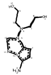 Nc1ccc2n(N(CCO)CCO)cnn12